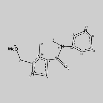 COCc1ncc(C(=O)N(C)c2cccnc2)n1C